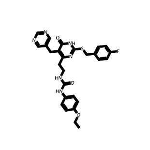 CCOc1ccc(NC(=O)NCCc2nc(SCc3ccc(F)cc3)[nH]c(=O)c2Cc2cncnc2)cc1